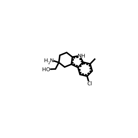 Cc1cc(Cl)cc2c3c([nH]c12)CCC(N)(CO)C3